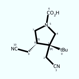 CC(C)(C)[C@]1(CC#N)CN(C(=O)O)C[C@H]1CC#N